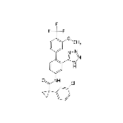 COc1cc(-c2ccc(NC(=O)C3(c4cccc(Cl)c4)CC3)cc2-c2nnn[nH]2)ccc1C(F)(F)F